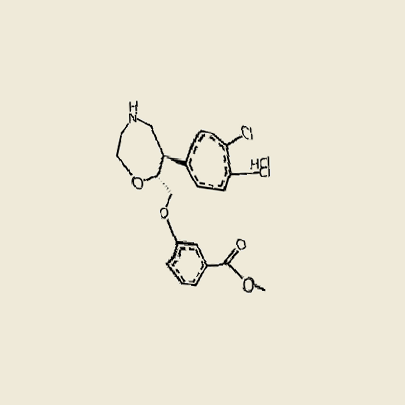 COC(=O)c1cccc(OC[C@@H]2OCCNC[C@H]2c2ccc(Cl)c(Cl)c2)c1.Cl